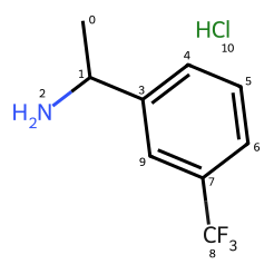 CC(N)c1cccc(C(F)(F)F)c1.Cl